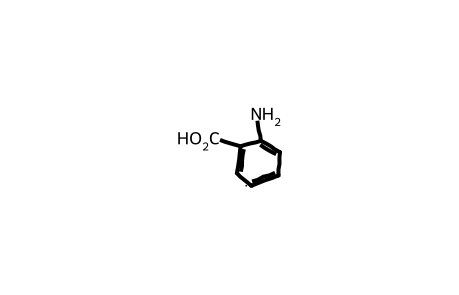 Nc1cc[c]cc1C(=O)O